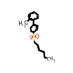 C=CCCCCS(=O)(=O)c1ccc(-c2ccccc2C)cc1